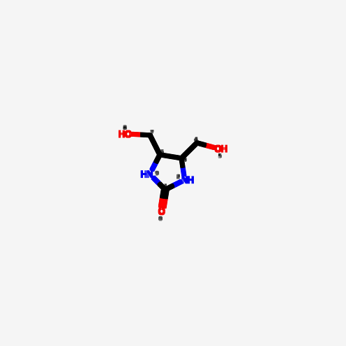 O=C1NC(CO)C(CO)N1